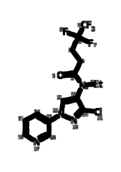 CCN(C(=O)CCC(F)(F)C(F)(F)F)c1cn(-c2cccnc2)nc1Cl